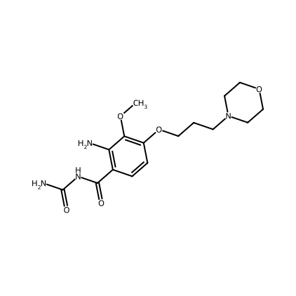 COc1c(OCCCN2CCOCC2)ccc(C(=O)NC(N)=O)c1N